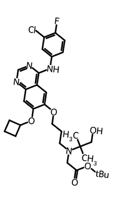 CC(C)(C)OC(=O)CN(CCCOc1cc2c(Nc3ccc(F)c(Cl)c3)ncnc2cc1OC1CCC1)C(C)(C)CO